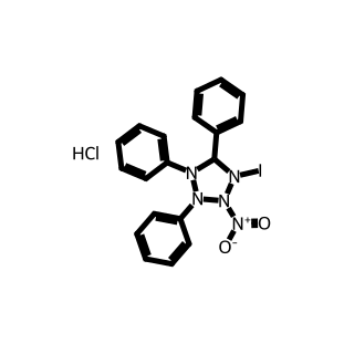 Cl.O=[N+]([O-])N1N(I)C(c2ccccc2)N(c2ccccc2)N1c1ccccc1